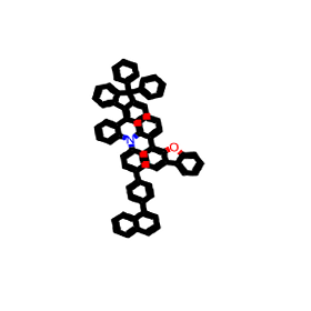 c1ccc(C2(c3ccccc3)c3ccccc3-c3c(-c4ccccc4N(c4ccc(-c5ccc(-c6cccc7ccccc67)cc5)cc4)c4ccccc4-c4cccc5c4oc4ccccc45)cccc32)cc1